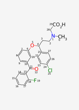 CN(CCC(Oc1cccc(C(=O)c2ccccc2F)c1)c1ccc(Cl)cc1)CC(=O)O